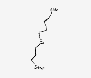 CSCCCSSCCCSC